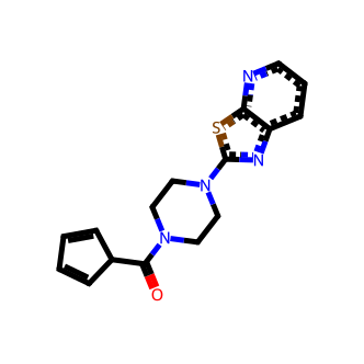 O=C(C1C=CC=C1)N1CCN(c2nc3cccnc3s2)CC1